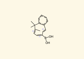 C\C1=C/C=C(B(O)O)\C=C\c2ccccc2C1(C)C